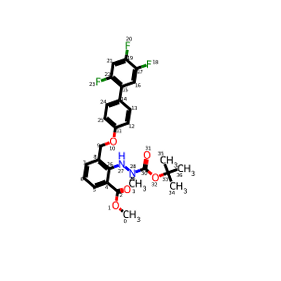 COC(=O)c1cccc(COc2ccc(-c3cc(F)c(F)cc3F)cc2)c1NN(C)C(=O)OC(C)(C)C